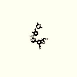 Cc1c(CN2CC(C)OC(C)C2)cccc1Nc1nccc(-c2cc(C#N)c3c(c2)[C@@](C)(CO)CN3)n1